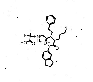 NCCCC(C(=O)Nc1ccc2c(c1)CCC2)N(CCc1ccccc1)C(=O)CN.O=C(O)C(F)(F)F